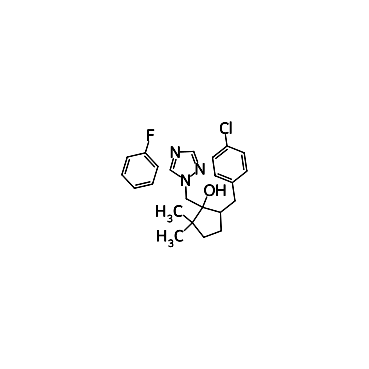 CC1(C)CCC(Cc2ccc(Cl)cc2)C1(O)Cn1cncn1.Fc1ccccc1